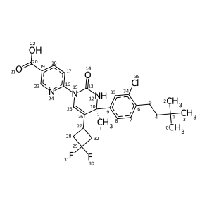 CC(C)(C)CCc1ccc([C@]2(C)NC(=O)N(c3ccc(C(=O)O)cn3)C=C2C2CC(F)(F)C2)cc1Cl